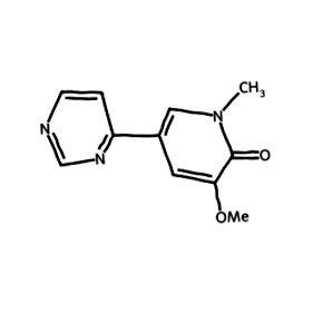 COc1cc(-c2ccncn2)cn(C)c1=O